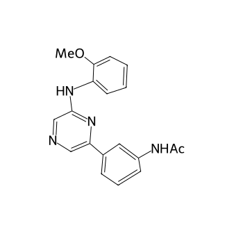 COc1ccccc1Nc1cncc(-c2cccc(NC(C)=O)c2)n1